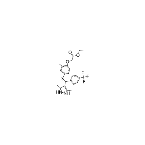 CCOC(=O)COc1ccc(SC(C2=C(C)NNC2C)c2ccc(C(F)(F)F)cc2)cc1C